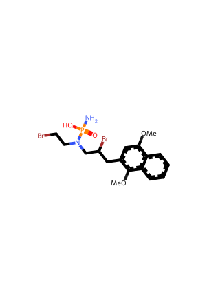 COc1cc(CC(Br)CN(CCBr)P(N)(=O)O)c(OC)c2ccccc12